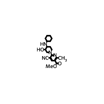 COC(=O)c1cc(C#N)c(N2CCC(NC3CCCCC3)C(O)C2)nc1C